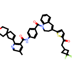 Cc1cnc(C2=CCC3(CCOCC3)C2)c(C(=O)Nc2ccc(C(=O)N3CCC(c4ccc(C(=O)CC5CC(F)(F)C5)s4)=Cc4ccccc43)cc2)c1